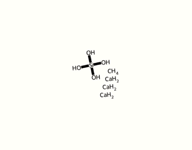 C.O[Si](O)(O)O.[CaH2].[CaH2].[CaH2]